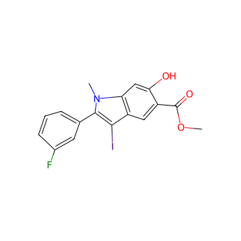 COC(=O)c1cc2c(I)c(-c3cccc(F)c3)n(C)c2cc1O